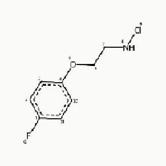 Fc1ccc(OCCNCl)cc1